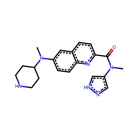 CN(C(=O)c1ccc2cc(N(C)C3CCNCC3)ccc2n1)c1cn[nH]c1